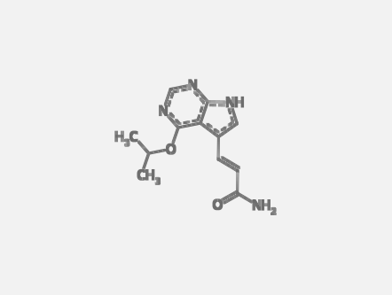 CC(C)Oc1ncnc2[nH]cc(C=CC(N)=O)c12